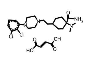 CN(C)C1(C(N)=O)CCC(CCN2CCN(c3cccc(Cl)c3Cl)CC2)CC1.O=C(O)C=CC(=O)O